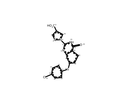 O=C(O)c1cnn(-c2nc3cc(Sc4ccc(Cl)cc4)ccc3c(=O)[nH]2)c1